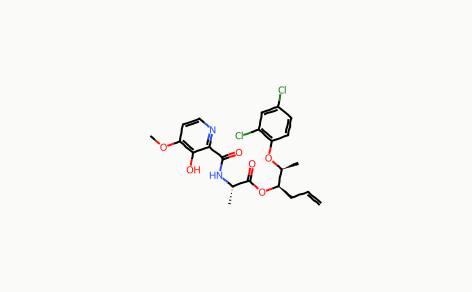 C=CC[C@@H](OC(=O)[C@H](C)NC(=O)c1nccc(OC)c1O)[C@H](C)Oc1ccc(Cl)cc1Cl